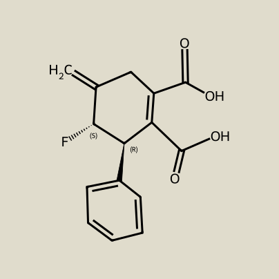 C=C1CC(C(=O)O)=C(C(=O)O)[C@@H](c2ccccc2)[C@@H]1F